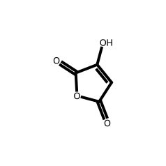 O=C1C=C(O)C(=O)O1